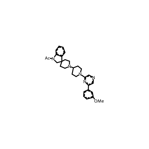 COc1cccc(-c2cncc(N3CCC(N4CCC5(CC4)CN(C(C)=O)c4ccccc45)CC3)n2)c1